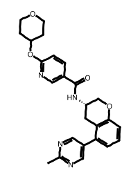 Cc1ncc(-c2cccc3c2C[C@H](NC(=O)c2ccc(OC4CCOCC4)nc2)CO3)cn1